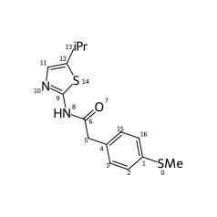 CSc1ccc(CC(=O)Nc2ncc(C(C)C)s2)cc1